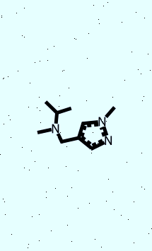 CC(C)N(C)Cc1cnn(C)c1